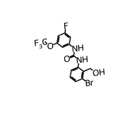 O=C(Nc1cc(F)cc(OC(F)(F)F)c1)Nc1cccc(Br)c1CO